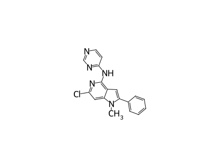 Cn1c(-c2ccccc2)cc2c(Nc3ccncn3)nc(Cl)cc21